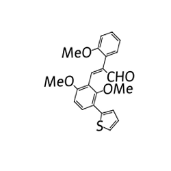 COc1ccccc1C(C=O)=Cc1c(OC)ccc(-c2cccs2)c1OC